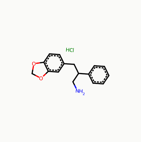 Cl.NCC(Cc1ccc2c(c1)OCO2)c1ccccc1